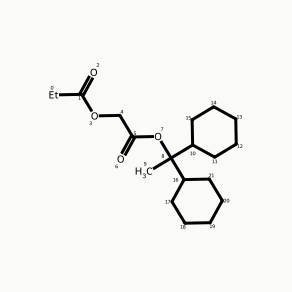 CCC(=O)OCC(=O)OC(C)(C1CCCCC1)C1CCCCC1